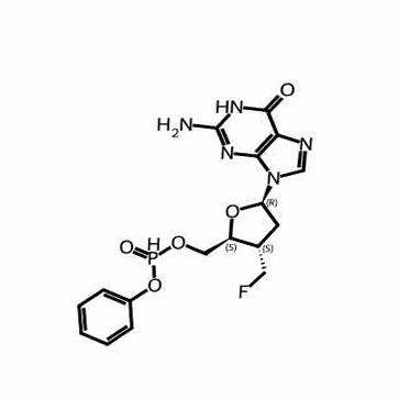 Nc1nc2c(ncn2[C@H]2C[C@H](CF)[C@@H](CO[PH](=O)Oc3ccccc3)O2)c(=O)[nH]1